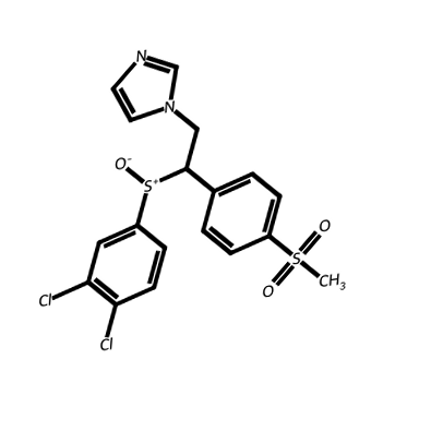 CS(=O)(=O)c1ccc(C(Cn2ccnc2)[S+]([O-])c2ccc(Cl)c(Cl)c2)cc1